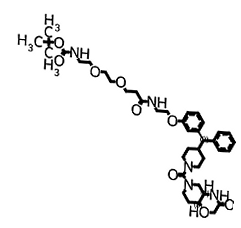 CC(C)(C)OC(=O)NCCOCCOCCC(=O)NCCOc1cccc([C@@H](c2ccccc2)C2CCN(C(=O)N3CC[C@@H]4OCC(=O)N[C@@H]4C3)CC2)c1